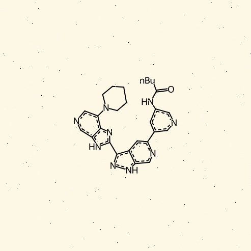 CCCCC(=O)Nc1cncc(-c2cc3c(-c4nc5c(N6CCCCC6)cncc5[nH]4)n[nH]c3cn2)c1